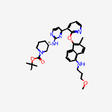 COCCCNc1cccc2c(Oc3ncccc3-c3ccnc(N[C@H]4CCCN(C(=O)OC(C)(C)C)C4)n3)c(C)ccc12